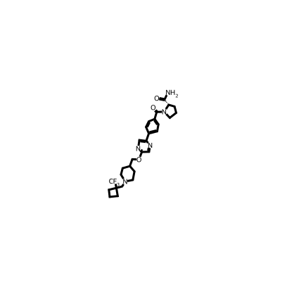 NC(=O)[C@@H]1CCCN1C(=O)c1ccc(-c2cnc(OCC3CCN(CC4(C(F)(F)F)CCC4)CC3)cn2)cc1